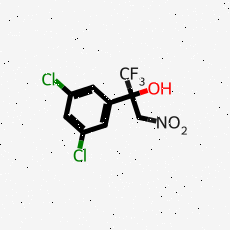 O=[N+]([O-])CC(O)(c1cc(Cl)cc(Cl)c1)C(F)(F)F